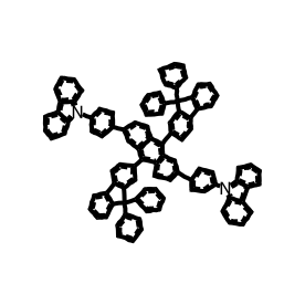 c1ccc(C2(c3ccccc3)c3ccccc3-c3ccc(-c4c5ccc(-c6ccc(-n7c8ccccc8c8ccccc87)cc6)cc5c(-c5ccc6c(c5)C(c5ccccc5)(c5ccccc5)c5ccccc5-6)c5ccc(-c6ccc(-n7c8ccccc8c8ccccc87)cc6)cc45)cc32)cc1